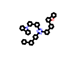 c1ccc(-c2cccc(-c3ccc(-c4nc(-c5cccc(-c6cccc(-c7cccc8c7oc7ccccc78)c6)c5)nc(-c5cccc(-c6cccc(-n7c8ccccc8c8ccccc87)c6)c5)n4)cc3)c2)cc1